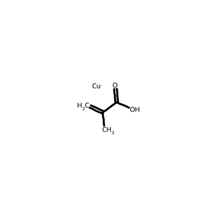 C=C(C)C(=O)O.[Cu]